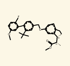 COC(=O)[C@@H](C)[C@H]1CCc2ccc(OCc3ccc(-c4cc(OC)ccc4F)c(C(C)(C)C)c3)cc21